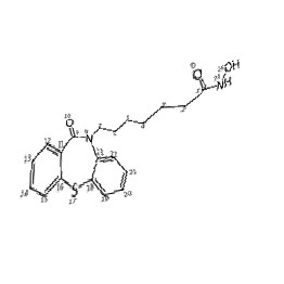 O=C(CCCCCCN1C(=O)c2ccccc2Sc2ccccc21)NO